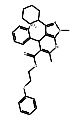 CC1=C(C(=O)OCCOc2ccccc2)C(c2ccccc2[N+](=O)[O-])c2c(C3CCCCC3)nn(C)c2N1